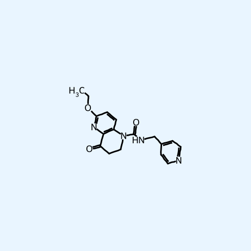 CCOc1ccc2c(n1)C(=O)CCN2C(=O)NCc1ccncc1